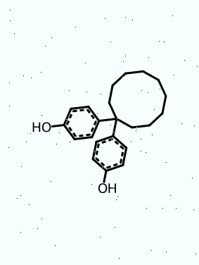 Oc1ccc(C2(c3ccc(O)cc3)CCCCCCCCC2)cc1